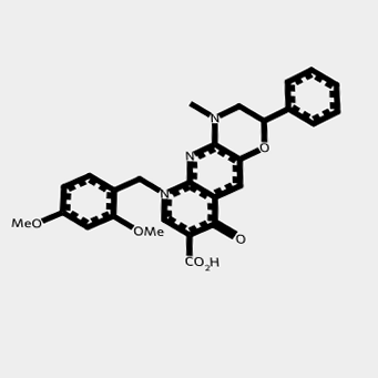 COc1ccc(Cn2cc(C(=O)O)c(=O)c3cc4c(nc32)N(C)CC(c2ccccc2)O4)c(OC)c1